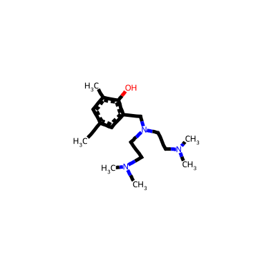 Cc1cc(C)c(O)c(CN(CCN(C)C)CCN(C)C)c1